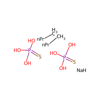 CCCC.CCCC.OP(O)(O)=S.OP(O)(O)=S.[NaH]